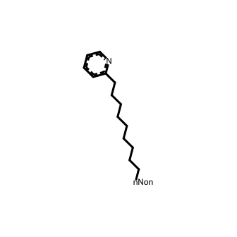 CCCCCCCCCCCCCCCCCCc1ccccn1